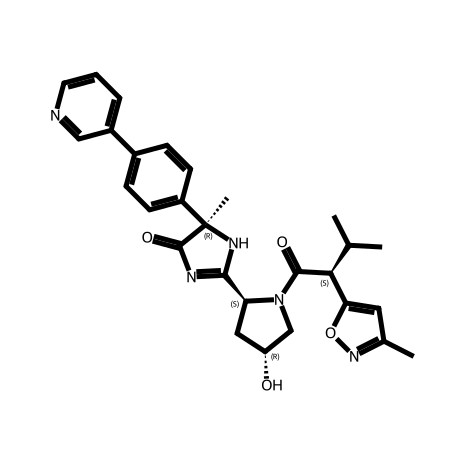 Cc1cc([C@@H](C(=O)N2C[C@H](O)C[C@H]2C2=NC(=O)[C@@](C)(c3ccc(-c4cccnc4)cc3)N2)C(C)C)on1